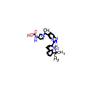 C[C@@H](c1ccc2nnc(-c3ccc4cccc(C(C)(C)C)c4n3)n2c1)N1CCC(NC(=O)O)C1